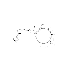 B[C@@]1(C(C)OC)CC[C@H](C)CCN[C@@H](C)[C@H]2N(C/C=C/Cn3cc(-c4nccs4)nn3)C(=O)O[C@]2(C)[C@@H](CC)OC(=O)[C@H](C)C(=O)[C@@H]1C